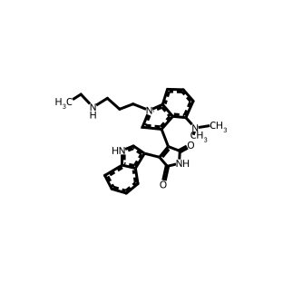 CCNCCCn1cc(C2=C(c3c[nH]c4ccccc34)C(=O)NC2=O)c2c(N(C)C)cccc21